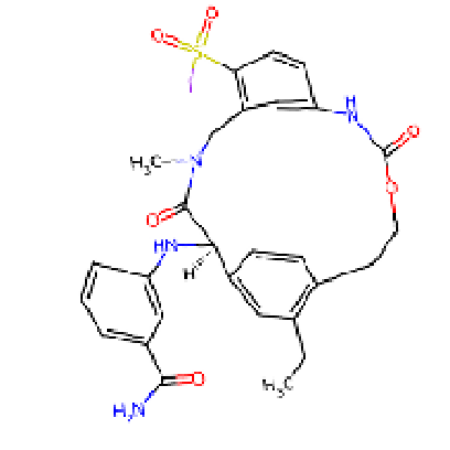 CCc1cc2ccc1CCOC(=O)Nc1ccc(S(=O)(=O)I)c(c1)CN(C)C(=O)[C@@H]2Nc1cccc(C(N)=O)c1